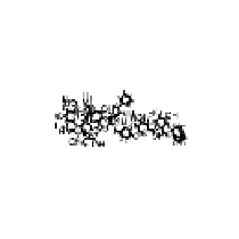 CC(c1ccccc1)[C@H](N)C(=O)N[C@@H](Cc1ccc(OC2OC(CO)C(OC3OC4COC5(OC4C(O)C3O)C3CC4CC(C3)CC5C4)C(O)C2O)cc1)C(=O)N[C@H](C(=O)N[C@H](C(=O)N[C@H]([C]=O)CO)C(O)C1CNC(=N)N1C1OC(CO)C(O)C(O)C1O)C(O)C1CNC(=N)N1